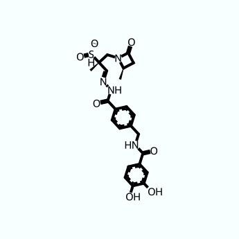 C[C@@H]1CC(=O)N1C[C@](C)(/C=N/NC(=O)c1ccc(CNC(=O)c2ccc(O)c(O)c2)cc1)[SH](=O)=O